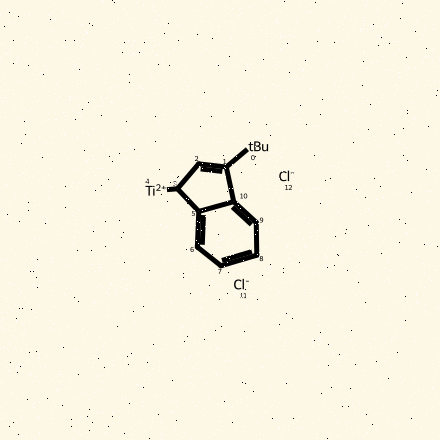 CC(C)(C)C1=C[CH]([Ti+2])c2ccccc21.[Cl-].[Cl-]